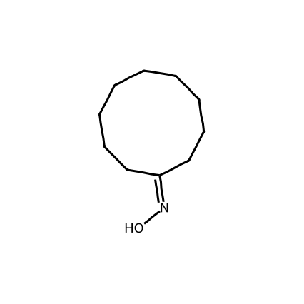 ON=C1CCCCCCCCC1